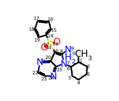 CC1CCCCC1n1c(N)c(S(=O)(=O)c2ccccc2)c2nccnc21